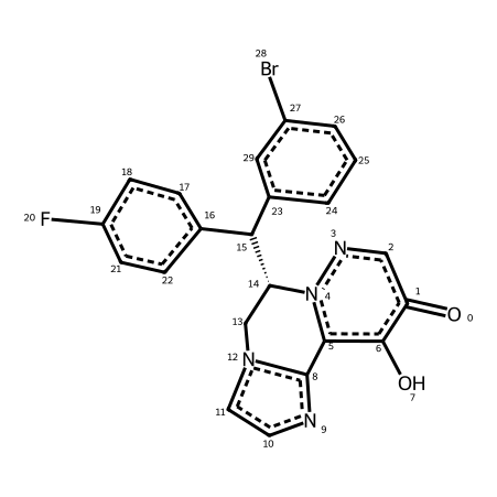 O=c1cnn2c(c1O)-c1nccn1C[C@@H]2C(c1ccc(F)cc1)c1cccc(Br)c1